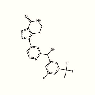 O=C1NCCc2c1cnn2-c1ccnc(C(S)c2cc(F)cc(C(F)(F)F)c2)c1